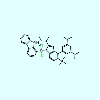 CCC(C)C1=Cc2c(ccc(C(C)(C)C)c2-c2cc(C(C)C)cc(C(C)C)c2)[CH]1[Zr]([Cl])([Cl])[c]1cccc2c1[SiH2]c1ccccc1-2